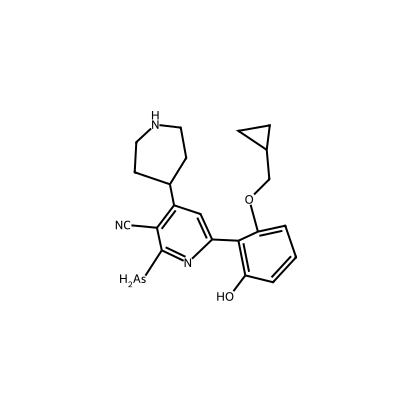 N#Cc1c(C2CCNCC2)cc(-c2c(O)cccc2OCC2CC2)nc1[AsH2]